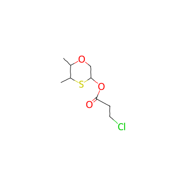 CC1OCC(OC(=O)CCCl)SC1C